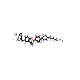 CCCCCC1CCC(c2ccc(C(=O)Oc3ccc(CC(C)CC)cc3C#N)cc2)CC1